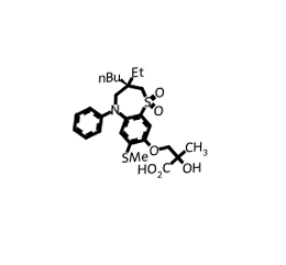 CCCC[C@]1(CC)CN(c2ccccc2)c2cc(SC)c(OCC(C)(O)C(=O)O)cc2S(=O)(=O)C1